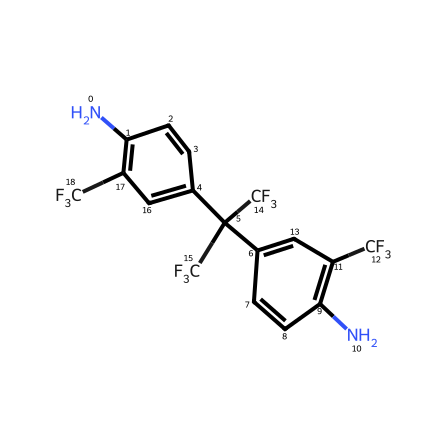 Nc1ccc(C(c2ccc(N)c(C(F)(F)F)c2)(C(F)(F)F)C(F)(F)F)cc1C(F)(F)F